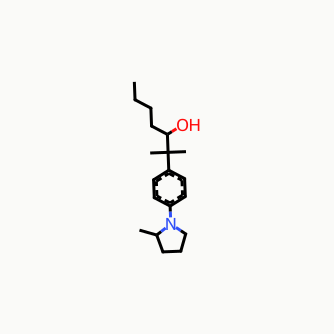 CCCCC(O)C(C)(C)c1ccc(N2CCCC2C)cc1